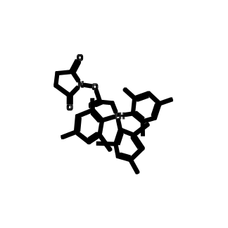 Cc1cc(C)c([PH](CC(=O)ON2C(=O)CCC2=O)(c2c(C)cc(C)cc2C)c2c(C)cc(C)cc2C)c(C)c1